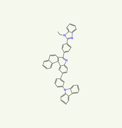 CCn1c(-c2ccc(-c3nc4ccc(-c5cccc(-n6c7ccccc7c7ccccc76)c5)cc4c4c3ccc3ccccc34)cc2)nc2ccccc21